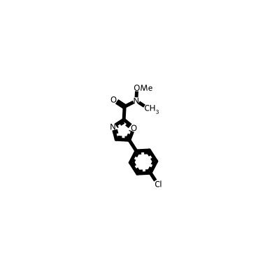 CON(C)C(=O)c1ncc(-c2ccc(Cl)cc2)o1